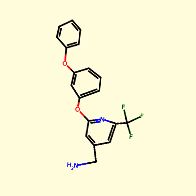 NCc1cc(Oc2cccc(Oc3ccccc3)c2)nc(C(F)(F)F)c1